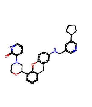 O=c1[nH]cccc1N1CCOC(c2cccc3c2Oc2ccc(NCc4cncc(C5CCCC5)c4)cc2C3)C1